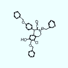 O=C=C1C(c2ccc(OCc3ccccc3)cc2)c2cc(O)c(OCc3ccccc3)c(Cl)c2CCN1OCc1ccccc1